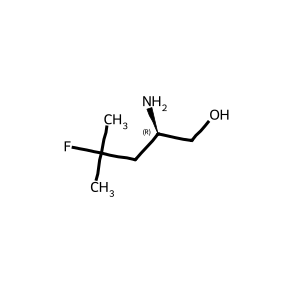 CC(C)(F)C[C@@H](N)CO